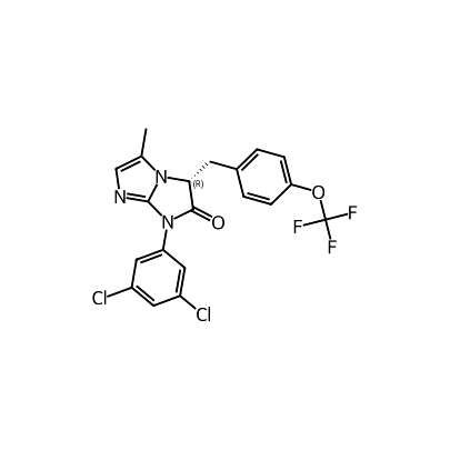 Cc1cnc2n1[C@H](Cc1ccc(OC(F)(F)F)cc1)C(=O)N2c1cc(Cl)cc(Cl)c1